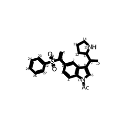 C=C(c1ccc2c(c1)c(C(C)C1CCCN1)cn2C(C)=O)S(=O)(=O)c1ccccc1